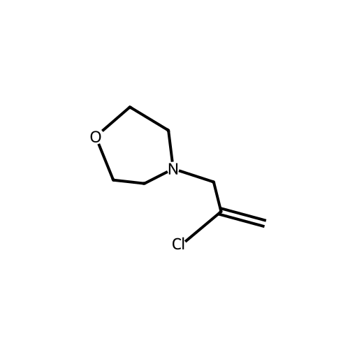 C=C(Cl)CN1CCOCC1